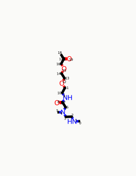 CNCCN(C)CC(=O)NCCOCCOCC(C)=O